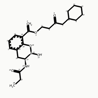 C=C(OCCC(=O)CC1CCCCC1)c1cccc2c1OB(O)[C@@H](NC(=O)CC)C2